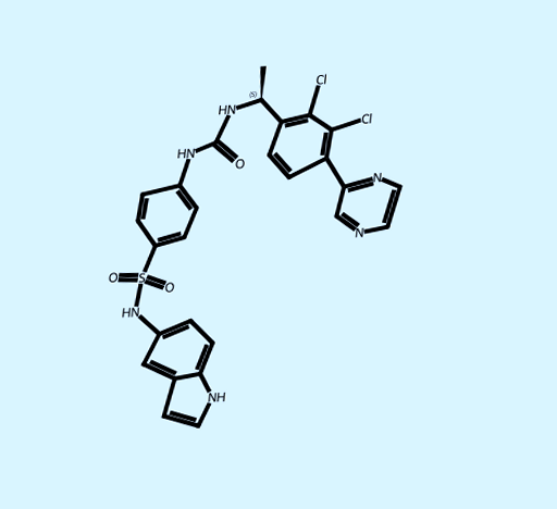 C[C@H](NC(=O)Nc1ccc(S(=O)(=O)Nc2ccc3[nH]ccc3c2)cc1)c1ccc(-c2cnccn2)c(Cl)c1Cl